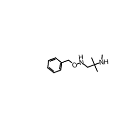 CNC(C)(C)CNOCc1ccccc1